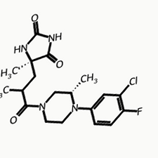 CC(C[C@@]1(C)NC(=O)NC1=O)C(=O)N1CCN(c2ccc(F)c(Cl)c2)[C@@H](C)C1